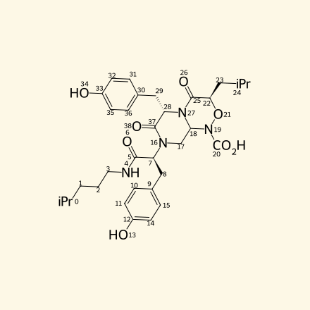 CC(C)CCCNC(=O)[C@H](Cc1ccc(O)cc1)N1CC2N(C(=O)O)O[C@H](CC(C)C)C(=O)N2[C@@H](Cc2ccc(O)cc2)C1=O